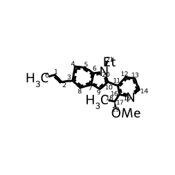 C/C=C/c1ccc2c(c1)cc(-c1cccnc1[C@H](C)OC)n2CC